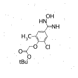 Cc1cc(C(=N)NO)cc(Cl)c1OCC(=O)OC(C)(C)C